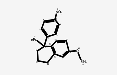 CCCC1(c2ccc([N+](=O)[O-])cc2)CCCc2cc(O[SiH3])ccc21